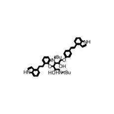 CC(C)(C)NCC(O)C(Oc1ccccc1CCc1cccc2[nH]ccc12)C(NC(C)(C)C)C(O)COc1ccc(C=Cc2cccc3[nH]ccc23)cc1